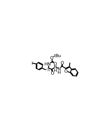 Cc1c(C(=O)NNC(=O)[C@H](Cc2ccc(I)cc2)NC(=O)OC(C)(C)C)oc2ccccc12